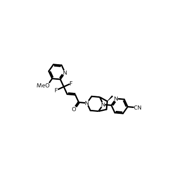 COc1cccnc1C(F)(F)/C=C/C(=O)N1CC2C[C@H](C)C(C1)N2c1ccc(C#N)cn1